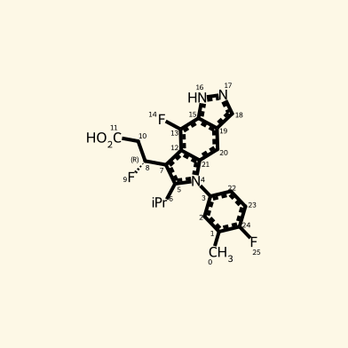 Cc1cc(-n2c(C(C)C)c([C@H](F)CC(=O)O)c3c(F)c4[nH]ncc4cc32)ccc1F